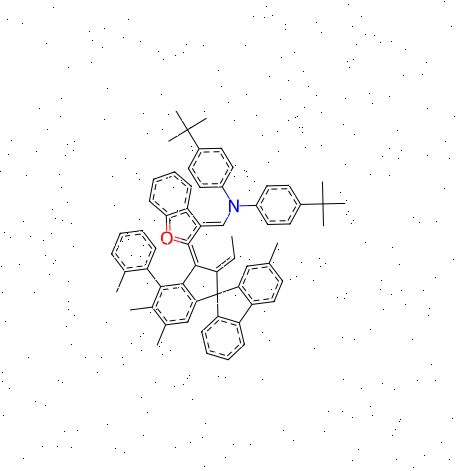 C\C=C1/C(=c2/oc3ccccc3/c2=C\N(c2ccc(C(C)(C)C)cc2)c2ccc(C(C)(C)C)cc2)c2c(cc(C)c(C)c2-c2ccccc2C)C12c1ccccc1-c1ccc(C)cc12